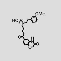 COc1cccc(CCN(CCCCC(=O)c2ccc3c(c2)NC(=O)CO3)C(=O)O)c1